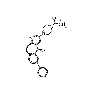 CC(C)N1CCN(c2cnc3ccc4ccc(-c5ccccc5)cc4c(=O)c3c2)CC1